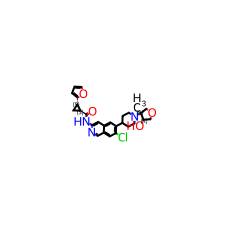 C[C@@]1(N2CCC(c3cc4cc(NC(=O)[C@H]5C[C@@H]5c5ccco5)ncc4cc3Cl)CC2)COC[C@@H]1O